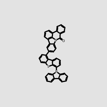 O=c1c2ccccc2c2cccc3c4cc(-c5cccc6sc7c(-n8c9ccccc9c9ccccc98)cccc7c56)ccc4n1c23